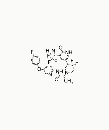 CC(C(=O)Nc1ccc(Oc2ccc(F)cc2)cn1)N1CCC(F)(F)C(c2c[nH]c(=O)c([C@@H](N)C(F)(F)F)c2)C1